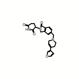 O=C1CCC(N2Cc3cc(CN4CC=C(c5ccoc5)CC4)ccc3C2=O)C(=O)N1